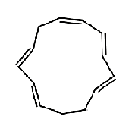 [CH]1/C=C/C=C/C=C\C/C=C/C=C/C1